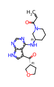 C=CC(=O)N1CCC[C@@H](Nc2ncnc3[nH]cc(C(=O)[C@@H]4CCOC4)c23)C1